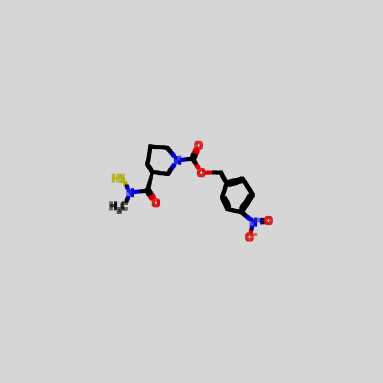 CN(S)C(=O)[C@H]1CCCN(C(=O)OCc2ccc([N+](=O)[O-])cc2)C1